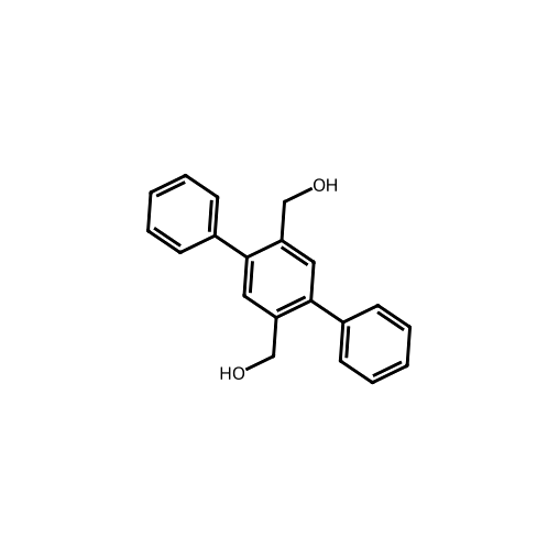 OCc1cc(-c2ccccc2)c(CO)cc1-c1ccccc1